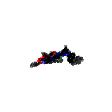 COc1ccc(CN(Cc2ccc(OC)cc2)c2cc(C)cc(-c3nc4c5c(nc(SC)nc5c3F)N(C(C)c3cccnc3N(C(=O)OC(C)(C)C)C(=O)OC(C)(C)C)CCO4)n2)cc1